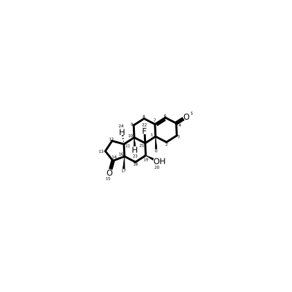 C[C@]12CCC(=O)C=C1CC[C@H]1[C@@H]3CCC(=O)[C@@]3(C)C[C@H](O)C12F